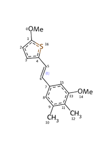 COc1ccc(/C=C/c2cc(C)c(C)c(OC)c2)s1